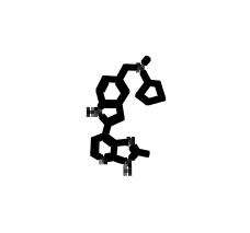 Cc1nc2c(-c3cc4cc(CN(C)C5CCCC5)ccc4[nH]3)ccnc2[nH]1